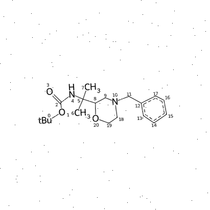 CC(C)(C)OC(=O)NC(C)(C)C1CN(Cc2ccccc2)CCO1